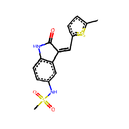 Cc1ccc(C=C2C(=O)Nc3ccc(NS(C)(=O)=O)cc32)s1